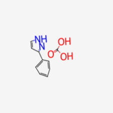 O=C(O)O.c1ccc(-c2cc[nH]n2)cc1